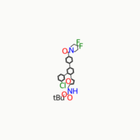 CC(C)(C)OC(=O)NCc1ccc(-c2ccc(-c3ccc(C(=O)N4CCC(F)(F)CC4)cc3)cc2-c2cccc(Cl)c2)o1